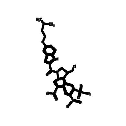 CN(C)CCOc1ccc2[nH]c(C(=O)N3CC(CCl)c4c3cc([N+](=O)[O-])c3cc([N+](=O)[O-])c(S(N)(=O)=O)cc43)cc2c1